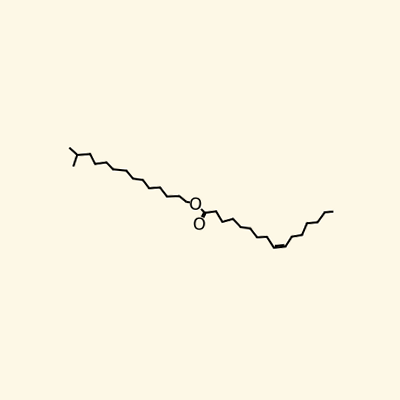 CCCCCC/C=C\CCCCCCCC(=O)OCCCCCCCCCCCCC(C)C